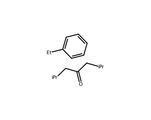 CC(C)CC(=O)CC(C)C.CCc1ccccc1